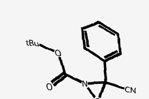 CC(C)(C)OC(=O)N1OC1(C#N)c1ccccc1